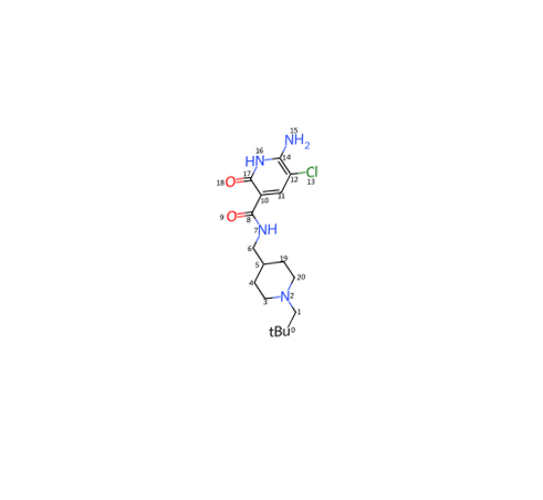 CC(C)(C)CN1CCC(CNC(=O)c2cc(Cl)c(N)[nH]c2=O)CC1